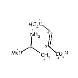 COC(C)N.O=C(O)/C=C/C(=O)O